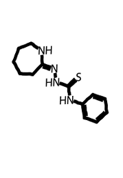 S=C(N/N=C1\CCCCCN1)Nc1ccccc1